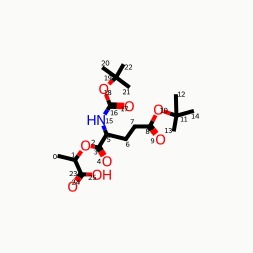 CC(OC(=O)C(CCC(=O)OC(C)(C)C)NC(=O)OC(C)(C)C)C(=O)O